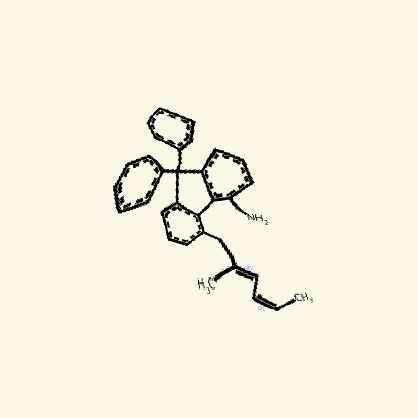 C/C=C\C=C(/C)Cc1cccc2c1-c1c(N)cccc1C2(c1ccccc1)c1ccccc1